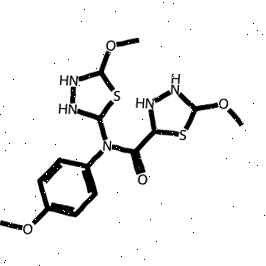 COc1ccc(N(C(=O)C2NNC(OC)S2)C2NNC(OC)S2)cc1